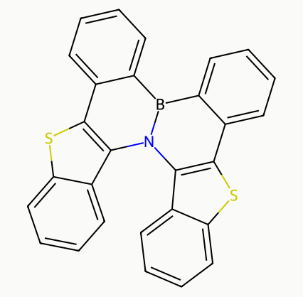 c1ccc2c(c1)B1c3ccccc3-c3sc4ccccc4c3N1c1c-2sc2ccccc12